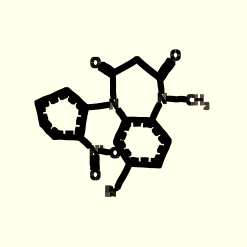 CN1C(=O)CC(=O)N(c2ccccc2[N+](=O)[O-])c2cc(Br)ccc21